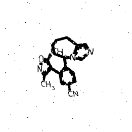 Cc1noc(C)c1-c1cc(C#N)ccc1C1CCCCc2cncn21